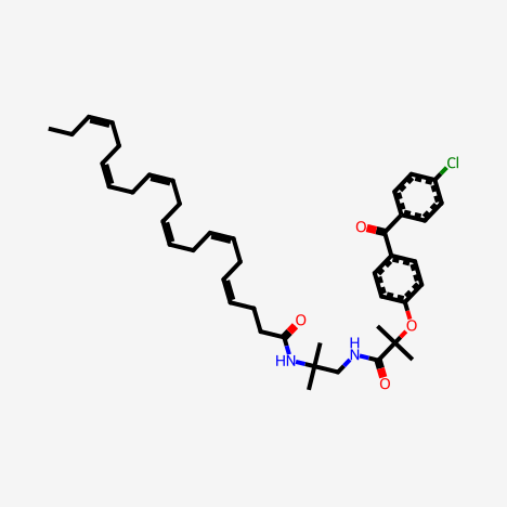 CC/C=C\C/C=C\C/C=C\C/C=C\C/C=C\C/C=C\CCC(=O)NC(C)(C)CNC(=O)C(C)(C)Oc1ccc(C(=O)c2ccc(Cl)cc2)cc1